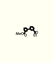 CCC1OC1c1cccc(-c2cccc(C(=O)OC)c2)c1